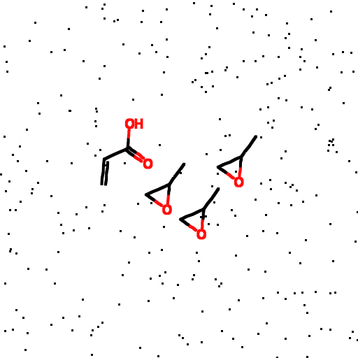 C=CC(=O)O.CC1CO1.CC1CO1.CC1CO1